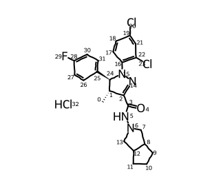 C[C@H]1C(C(=O)NN2CC3CCCC3C2)=NN(c2ccc(Cl)cc2Cl)[C@@H]1c1ccc(F)cc1.Cl